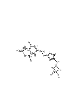 Cc1nc(NCc2cnn(CC3CC(F)(F)C3)c2)nc2c1NC(=O)CN2C